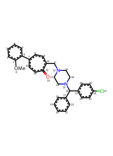 COc1ccccc1-c1ccc(CN2CCN(C(c3ccccc3)c3ccc(Cl)cc3)CC2)c(=O)cc1